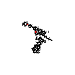 C1CNCCN1.CCCCCCCCCCCCc1ccccn1.CN(C)c1ccccn1.COc1ccc2nc(N(C)C)ccc2c1.Cc1cc(C)nc(C)c1.Cc1ccccn1.Nc1ccccn1.c1ccc2ncccc2c1.c1cnc2c(c1)ccc1cnccc12.c1cncnc1